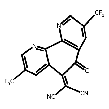 N#CC(C#N)=C1C(=O)c2cc(C(F)(F)F)cnc2-c2ncc(C(F)(F)F)cc21